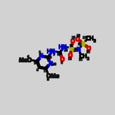 COc1cc(OC)nc(NC(=O)NS(=O)(=O)N(C)S(C)(=O)=O)n1